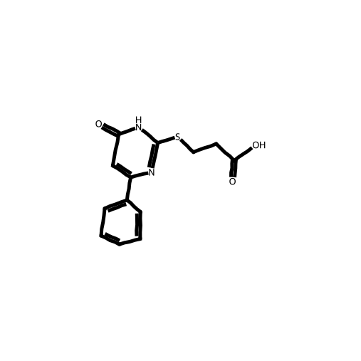 O=C(O)CCSc1nc(-c2ccccc2)cc(=O)[nH]1